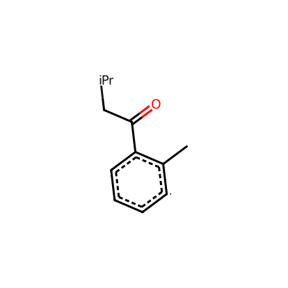 Cc1[c]cccc1C(=O)CC(C)C